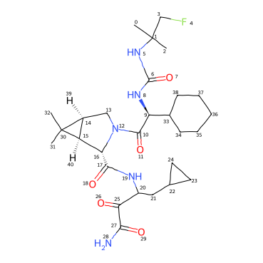 CC(C)(CF)NC(=O)N[C@H](C(=O)N1C[C@H]2[C@@H]([C@H]1C(=O)NC(CC1CC1)C(=O)C(N)=O)C2(C)C)C1CCCCC1